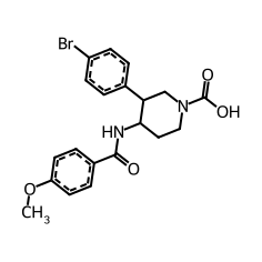 COc1ccc(C(=O)NC2CCN(C(=O)O)CC2c2ccc(Br)cc2)cc1